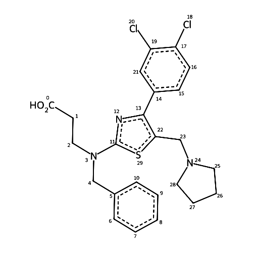 O=C(O)CCN(Cc1ccccc1)c1nc(-c2ccc(Cl)c(Cl)c2)c(CN2CCCC2)s1